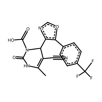 CC1=C(C#N)C(c2ncoc2-c2ccc(C(F)(F)F)cc2)N(C(=O)O)C(=O)N1